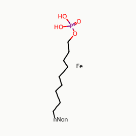 CCCCCCCCCCCCCCCCCCOP(=O)(O)O.[Fe]